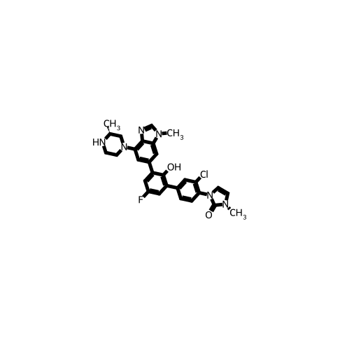 C[C@@H]1CN(c2cc(-c3cc(F)cc(-c4ccc(-n5ccn(C)c5=O)c(Cl)c4)c3O)cc3c2ncn3C)CCN1